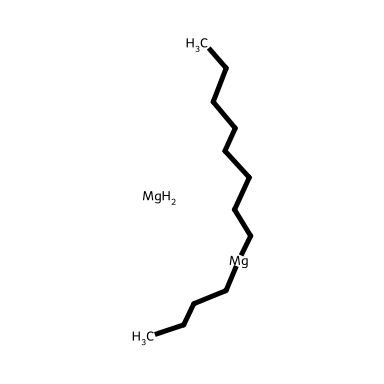 CCCCCCC[CH2][Mg][CH2]CCC.[MgH2]